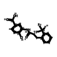 O=C(CCc1ccccc1C(F)(F)F)Nc1cc(C(=O)O)ccc1Cl